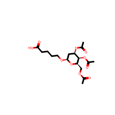 CC(=O)OC[C@H]1O[C@@H](OCCCCC(=O)O)C[C@@H](OC(C)=O)[C@H]1OC(C)=O